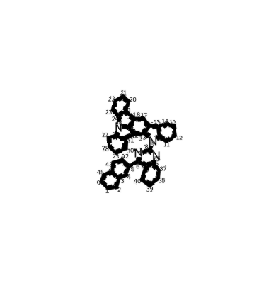 c1ccc2cc(-c3nc(-n4c5ccccc5c5cc6c7ccccc7n7c8ccccc8c(c54)c67)nc4ccccc34)ccc2c1